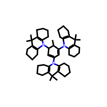 CC1C(N2C3=C(CCCC3)C(C)(C)C3=C2CCCC3)=CC(N2C3=C(CCCC3)C(C)(C)C3=C2CCCC3)=CC1N1C2=C(CCCC2)C(C)(C)C2=C1CCCC2